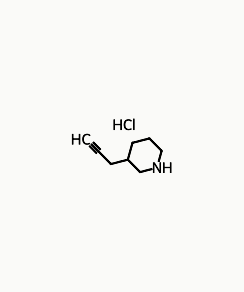 C#CCC1CCCNC1.Cl